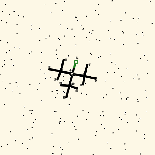 C[C](C)(C)[Ge]([Cl])([C](C)(C)C)[C](C)(C)C